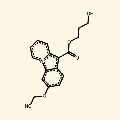 N#CCOc1ccc2c(C(=O)OCCCO)c3ccccn3c2c1